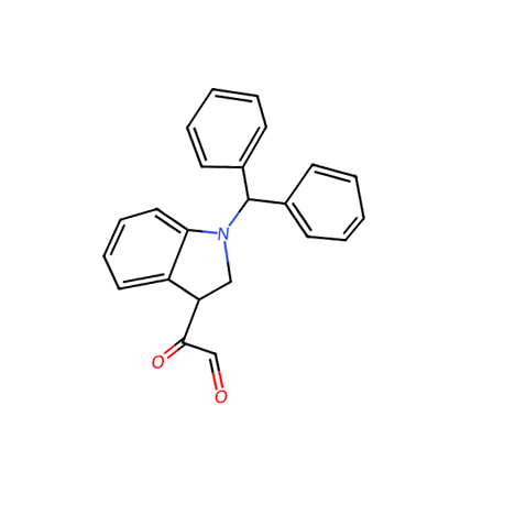 O=CC(=O)C1CN(C(c2ccccc2)c2ccccc2)c2ccccc21